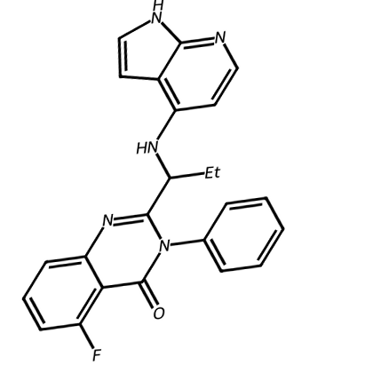 CCC(Nc1ccnc2[nH]ccc12)c1nc2cccc(F)c2c(=O)n1-c1ccccc1